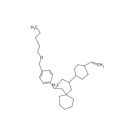 C=CC1CCC(C(CC)CC2(CCc3ccc(COCCCCC)cc3)CCCCC2)CC1